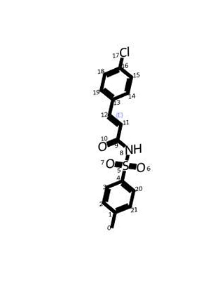 Cc1ccc(S(=O)(=O)NC(=O)/C=C/c2ccc(Cl)cc2)cc1